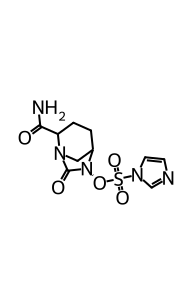 NC(=O)C1CCC2CN1C(=O)N2OS(=O)(=O)n1ccnc1